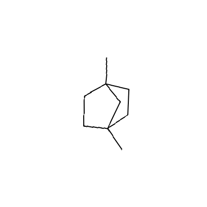 CC12CCC(C)(CC1)C2